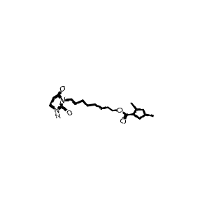 CC1CC(C)C(C(=O)OCCCCCCCCn2c(=O)cc[nH]c2=O)C1